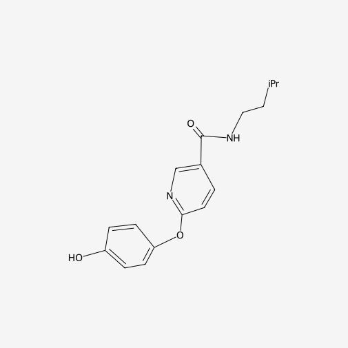 CC(C)CCNC(=O)c1ccc(Oc2ccc(O)cc2)nc1